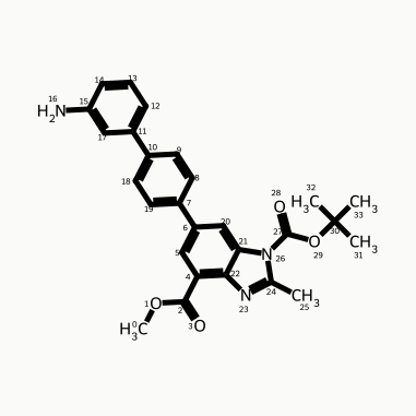 COC(=O)c1cc(-c2ccc(-c3cccc(N)c3)cc2)cc2c1nc(C)n2C(=O)OC(C)(C)C